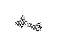 c1ccc(N(c2ccc(-c3ccc(-c4ccc(-c5cccc6oc7ccccc7c56)cc4)cc3)cc2)c2cc3ccccc3c3ccccc23)cc1